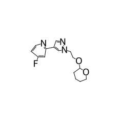 Fc1ccnc(-c2cnn(CCOC3CCCCO3)c2)c1